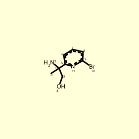 CC(N)(CO)c1cccc(Br)n1